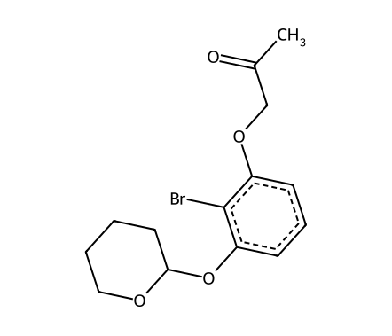 CC(=O)COc1cccc(OC2CCCCO2)c1Br